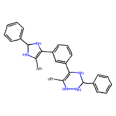 CCCC1=C(c2cccc(C3=C(CCC)NC(c4ccccc4)N3)c2)NC(c2ccccc2)NN1